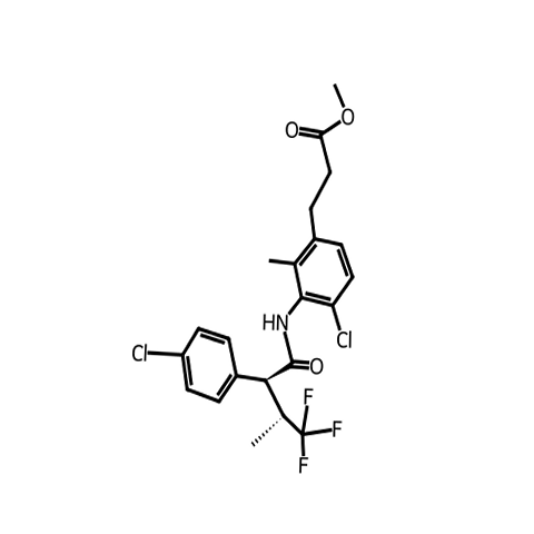 COC(=O)CCc1ccc(Cl)c(NC(=O)[C@H](c2ccc(Cl)cc2)[C@@H](C)C(F)(F)F)c1C